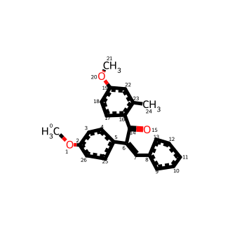 COc1ccc(C(=Cc2ccccc2)C(=O)c2ccc(OC)cc2C)cc1